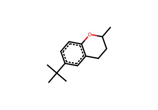 CC1CCc2cc(C(C)(C)C)ccc2O1